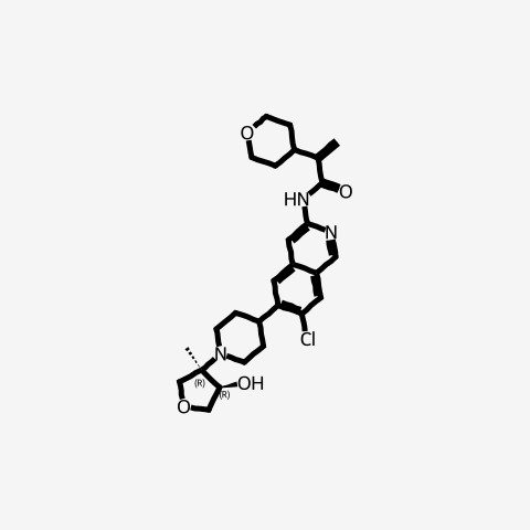 C=C(C(=O)Nc1cc2cc(C3CCN([C@]4(C)COC[C@@H]4O)CC3)c(Cl)cc2cn1)C1CCOCC1